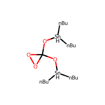 CCC[CH2][SnH]([CH2]CCC)[O]C1([O][SnH]([CH2]CCC)[CH2]CCC)OO1